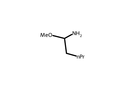 [CH2]CCCC(N)OC